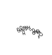 O=C(NCc1c(F)cccc1Cl)O[C@H]1C[C@@H](c2cc(NC(=O)[C@H]3CCCO3)n[nH]2)C1